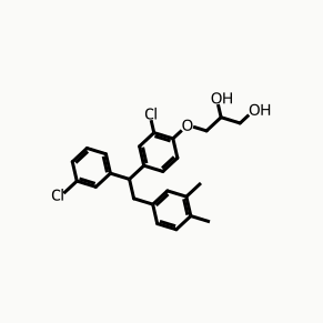 Cc1ccc(CC(c2cccc(Cl)c2)c2ccc(OCC(O)CO)c(Cl)c2)cc1C